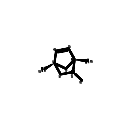 CN1C[C@H]2C=C[C@@H]1C2